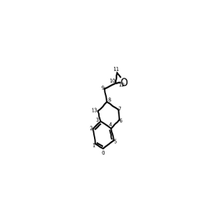 c1ccc2c(c1)CCC(CC1CO1)C2